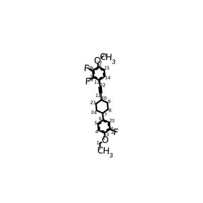 CCOc1ccc(C2CCC(C#Cc3ccc(OC)c(F)c3F)CC2)cc1F